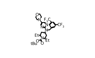 CC[C@@H]1C[C@H](N(Cc2cc(C(F)(F)F)cc(C(F)(F)F)c2)c2ncc(N3CCOCC3)cn2)C[C@H](CC)N1C(=O)OC(C)(C)C